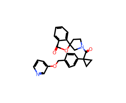 O=C1OC2(CCN(C(=O)C3(c4ccc(COc5cccnc5)cc4)CC3)C2)c2ccccc21